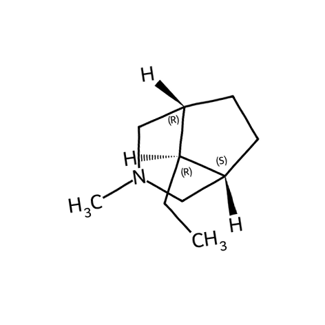 CC[C@@H]1[C@@H]2CC[C@H]1CN(C)C2